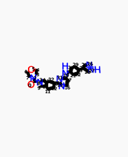 O=C(N1CCOCC1)N1Cc2ccc(-c3nccc(Nc4ccc(-c5cn[nH]c5)cc4)n3)cc2C1